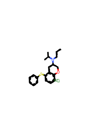 CCCN(C(C)C)C1COc2cccc(Sc3ccccc3)c2C1.Cl